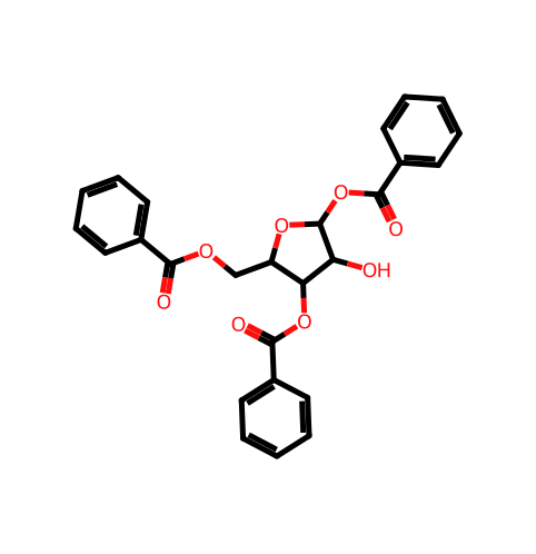 O=C(OCC1OC(OC(=O)c2ccccc2)C(O)C1OC(=O)c1ccccc1)c1ccccc1